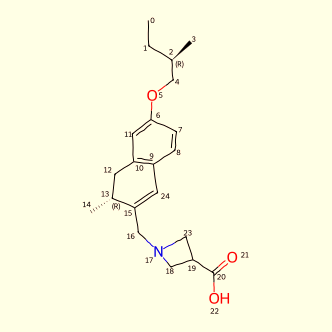 CC[C@@H](C)COc1ccc2c(c1)C[C@@H](C)C(CN1CC(C(=O)O)C1)=C2